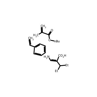 C=C(C)C(=O)OCCCC.C=Cc1ccccc1.CCC(CC)C(=CN)C(=O)O